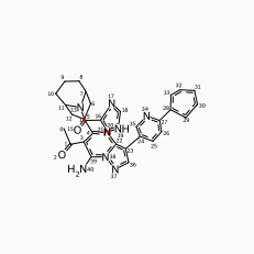 CC(=O)c1c(C2CC3CCCC(C2)N3C(=O)c2nc[nH]n2)nc2c(-c3ccc(-c4ccccc4)nc3)cnn2c1N